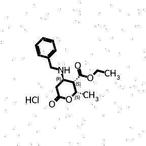 CCOC(=O)[C@@H]1[C@H](C)OC(=O)C[C@H]1NCc1ccccc1.Cl